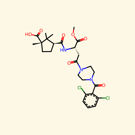 COC(=O)[C@H](CC(=O)N1CCN(C(=O)c2c(Cl)cccc2Cl)CC1)NC(=O)[C@H]1CC[C@](C)(C(=O)O)C1(C)C